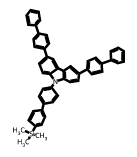 C[Si](C)(C)c1ccc(-c2ccc(-n3c4ccc(-c5ccc(-c6ccccc6)cc5)cc4c4cc(-c5ccc(-c6ccccc6)cc5)ccc43)cc2)cc1